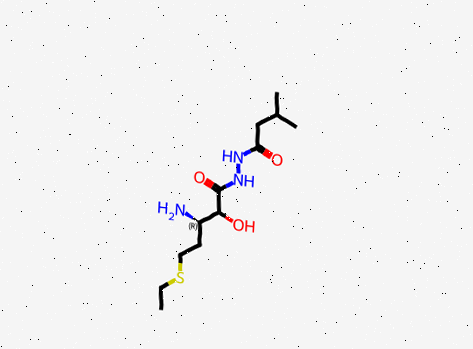 CCSCC[C@@H](N)C(O)C(=O)NNC(=O)CC(C)C